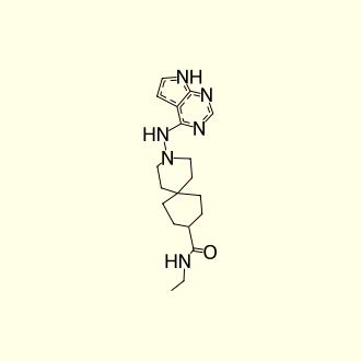 CCNC(=O)C1CCC2(CC1)CCN(Nc1ncnc3[nH]ccc13)CC2